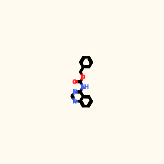 O=C(Nc1ncnc2ccccc12)OCc1ccccc1